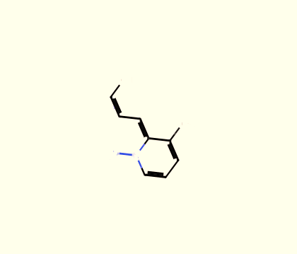 C/C=C\C=C1\C(C(C)(C)C)=CC=CN1N